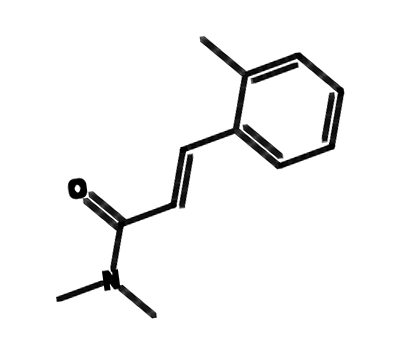 Cc1ccccc1/C=C/C(=O)N(C)C